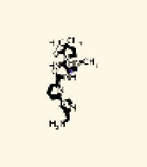 CN/C=C(/NC(=O)c1cccc(-n2cnc(CN)c2)n1)C(=N)N1CCC(C)(C)C1=O